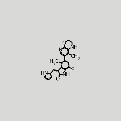 Cc1c(-c2cc(F)c3c(c2C)C(=Cc2ccc[nH]2)C(=O)N3)cnc2c1NCCO2